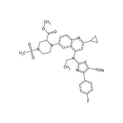 CCN(c1nc(-c2ccc(F)cc2)c(C#N)s1)c1cc(C2CC2)nc2ccc(N3CCN(S(C)(=O)=O)CC3C(=O)OC)cc12